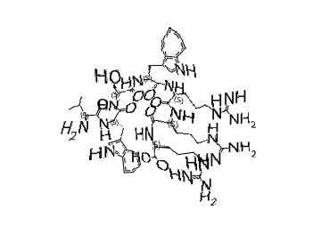 CC(C)[C@H](N)C(=O)N[C@@H](Cc1c[nH]c2ccccc12)C(=O)N[C@@H](CO)C(=O)N[C@@H](Cc1c[nH]c2ccccc12)C(=O)N[C@@H](CCCNC(=N)N)C(=O)N[C@@H](CCCNC(=N)N)C(=O)N[C@@H](CCCNC(=N)N)C(=O)O